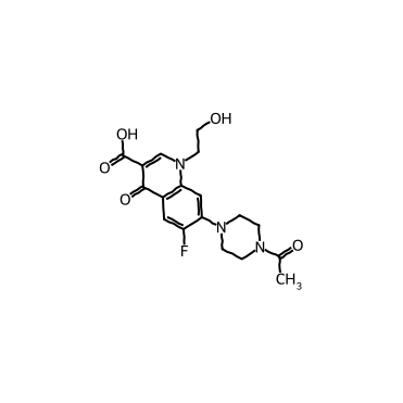 CC(=O)N1CCN(c2cc3c(cc2F)c(=O)c(C(=O)O)cn3CCO)CC1